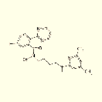 CCN(CCCCNc1cc(C)nc(C(F)(F)F)n1)C(=O)c1cc(F)ccc1-c1ncccn1